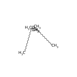 CCCCCCCCCCCCCCCCCC(C)(C)OC(C)(C)CCCCCCCCCCCCCCCCC